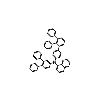 c1ccc(-c2ccc(N(c3ccc(-c4cccc(-c5ccccc5)c4-c4ccccc4)cc3)c3cccc4ccccc34)cc2-c2ccccc2)cc1